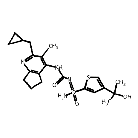 Cc1c(CC2CC2)nc2c(c1NC(=O)N=S(N)(=O)c1cc(C(C)(C)O)cs1)CCC2